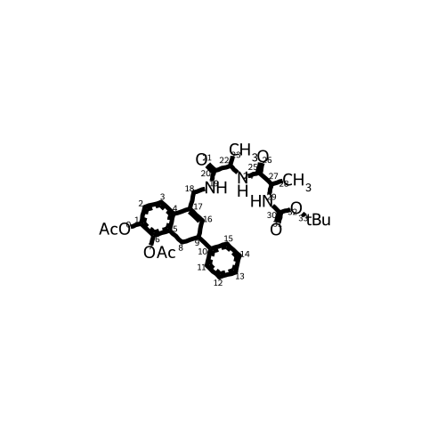 CC(=O)Oc1ccc2c(c1OC(C)=O)CC(c1ccccc1)C=C2CNC(=O)C(C)NC(=O)C(C)NC(=O)OC(C)(C)C